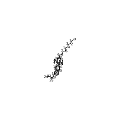 CCCCCCCCCCc1cnc(-c2ccc(OCCC(C)CC)cc2)nc1